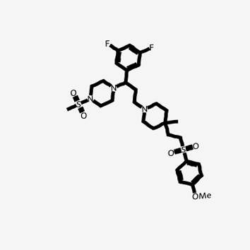 COc1ccc(S(=O)(=O)CCC2(C)CCN(CCC(c3cc(F)cc(F)c3)N3CCN(S(C)(=O)=O)CC3)CC2)cc1